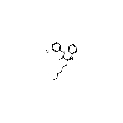 CCCCCCC(=Nc1ccccc1)C(C)=Nc1ccccc1.[Ni]